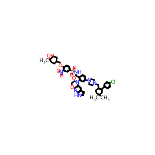 CC1(C)CCC(CN2CCN(c3ccc(C(=O)NS(=O)(=O)c4ccc(OCC5CCC(C)(O)CC5)c([N+](=O)[O-])c4)c(N4CCOc5nc6[nH]ccc6cc54)c3)CC2)=C(c2ccc(Cl)cc2)C1